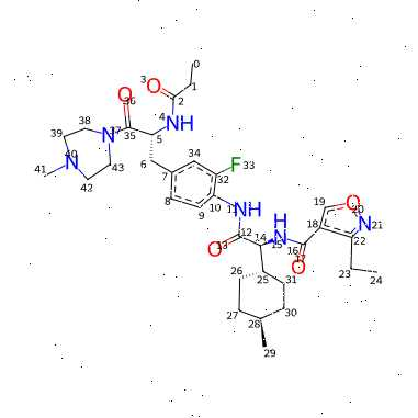 CCC(=O)N[C@H](Cc1ccc(NC(=O)[C@@H](NC(=O)c2conc2CC)[C@H]2CC[C@H](C)CC2)c(F)c1)C(=O)N1CCN(C)CC1